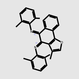 Cc1cccc(C)c1/N=C1/C(=N/c2c(C)cccc2C)c2c(C)coc2-c2ccccc21